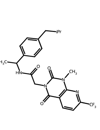 CC(C)Cc1ccc(C(C)NC(=O)Cn2c(=O)c3ccc(C(F)(F)F)nc3n(C)c2=O)cc1